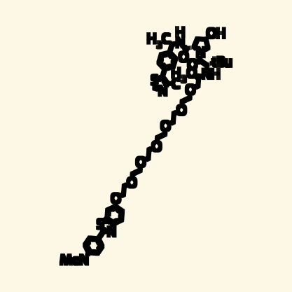 CNc1ccc(-c2nc3ccc(OCCOCCOCCOCCOCCOCCOCC(=O)N[C@H](C(=O)N4C[C@H](O)C[C@H]4C(=O)N[C@@H](C)c4ccc(-c5scnc5C)cc4)C(C)(C)C)cc3s2)cc1